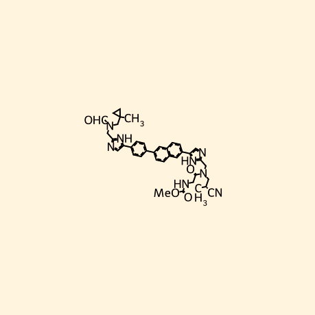 COC(=O)NCC(=O)N(Cc1ncc(-c2ccc3cc(-c4ccc(-c5cnc(CN(C=O)CC6(C)CC6)[nH]5)cc4)ccc3c2)[nH]1)C[C@H](C)C#N